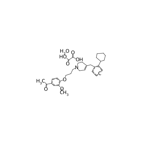 COc1cc(C(C)=O)ccc1OCCCN1CC=C(Cc2ccccc2C2CCCCC2)CC1.O.O=C(O)C(=O)O